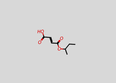 CCC(C)OC(=O)/C=C/C(=O)O